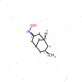 C[C@H]1CC2C/C(=N/O)C[C@@H](C2)C1